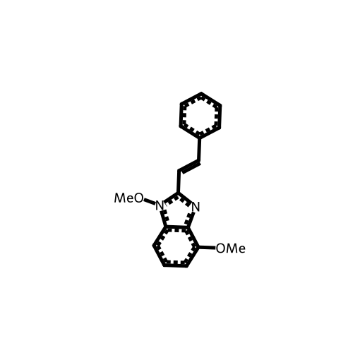 COc1cccc2c1nc(C=Cc1ccccc1)n2OC